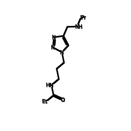 CCC(=O)NCCCn1cc(CNC(C)C)nn1